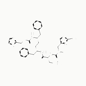 CC(C)COC[C@H](NC(=O)N(C)Cc1csc(C(C)C)n1)C(=O)N[C@H](CC[C@H](Cc1ccccc1)NC(=O)OCc1nccs1)Cc1ccccc1